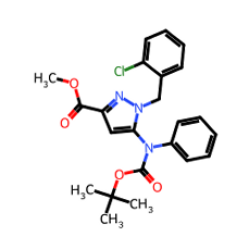 COC(=O)c1cc(N(C(=O)OC(C)(C)C)c2ccccc2)n(Cc2ccccc2Cl)n1